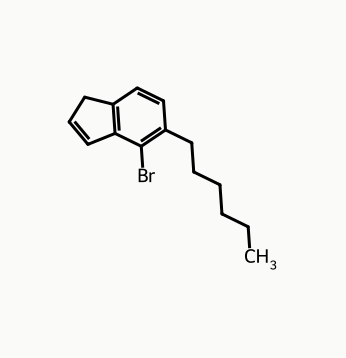 CCCCCCc1ccc2c(c1Br)C=CC2